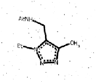 CCn1nnc(C)c1CNC(C)=O